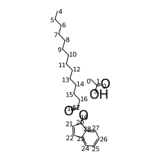 CC(=O)O.CCCCCCCCCCCCCC(=O)OC1C=Cc2ccccc21